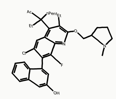 CCCCCC(CC)(C(C)=O)c1c(CC)c(OCC2CCCN2C)nc2c(F)c(-c3cc(O)cc4ccccc34)c(Cl)cc12